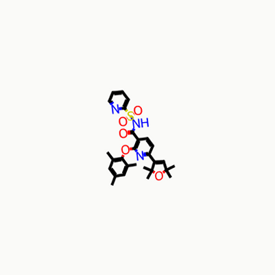 Cc1cc(C)c(Oc2nc(C3=CC(C)(C)OC3(C)C)ccc2C(=O)NS(=O)(=O)c2ccccn2)c(C)c1